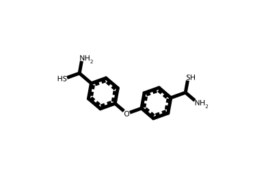 NC(S)c1ccc(Oc2ccc(C(N)S)cc2)cc1